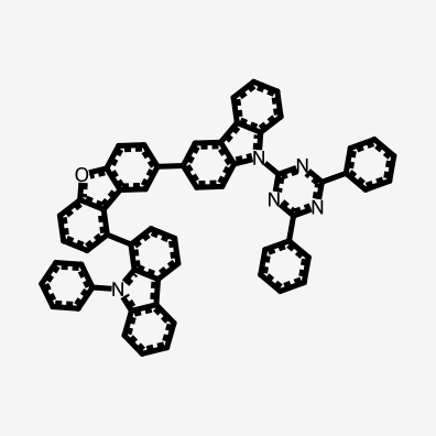 c1ccc(-c2nc(-c3ccccc3)nc(-n3c4ccccc4c4cc(-c5ccc6oc7cccc(-c8cccc9c%10ccccc%10n(-c%10ccccc%10)c89)c7c6c5)ccc43)n2)cc1